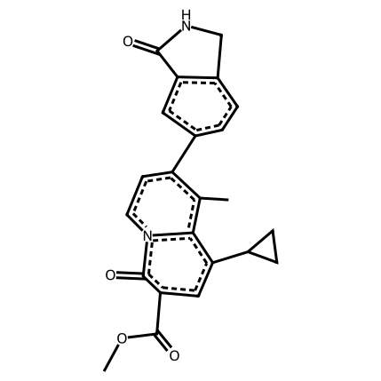 COC(=O)c1cc(C2CC2)c2c(C)c(-c3ccc4c(c3)C(=O)NC4)ccn2c1=O